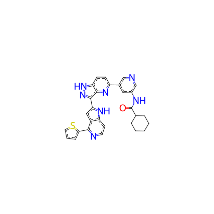 O=C(Nc1cncc(-c2ccc3[nH]nc(-c4cc5c(-c6cccs6)nccc5[nH]4)c3n2)c1)C1CCCCC1